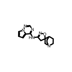 c1cc2c(NC3=NOC4(C3)CN3CCC4CC3)ncnn2c1